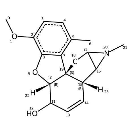 COc1ccc(C)c2c1O[C@H]1C(O)C=C[C@H]3C4C(C[C@@]231)N4C